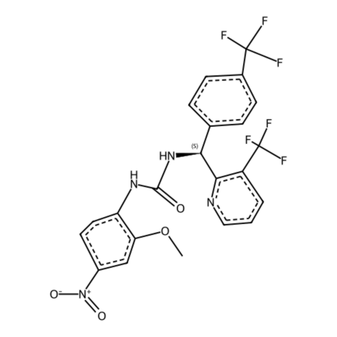 COc1cc([N+](=O)[O-])ccc1NC(=O)N[C@@H](c1ccc(C(F)(F)F)cc1)c1ncccc1C(F)(F)F